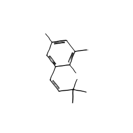 CC1(C)C=Cc2cc(F)[c]c(F)c2O1